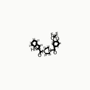 O=C(c1ccc2c(c1)OC(F)(F)O2)N1CCN(C(=O)c2cc3ccccc3[nH]2)CC1